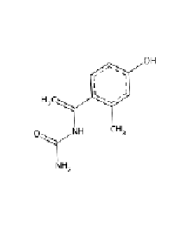 C=C(NC(N)=O)c1ccc(O)cc1C